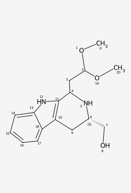 COC(CC1N[C@H](CO)Cc2c1[nH]c1ccccc21)OC